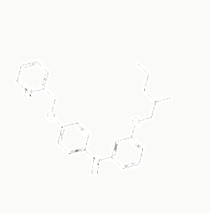 CCCC(C)COc1cccc(Nc2ccc(OCc3ccccn3)cc2)c1